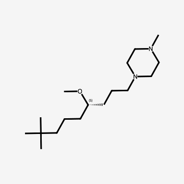 CO[C@H](CCCN1CCN(C)CC1)CCCC(C)(C)C